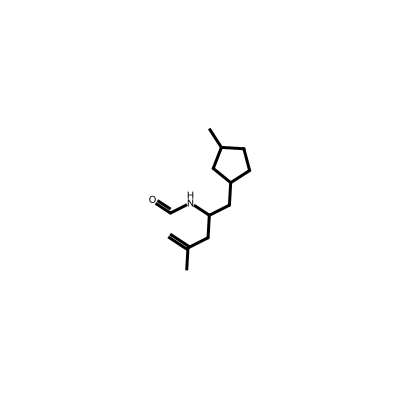 C=C(C)CC(CC1CCC(C)C1)NC=O